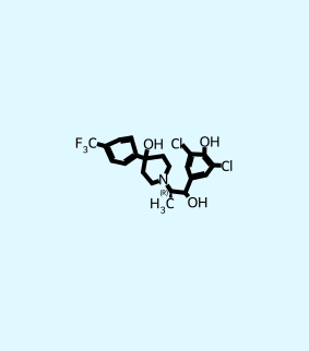 C[C@H](C(O)c1cc(Cl)c(O)c(Cl)c1)N1CCC(O)(c2ccc(C(F)(F)F)cc2)CC1